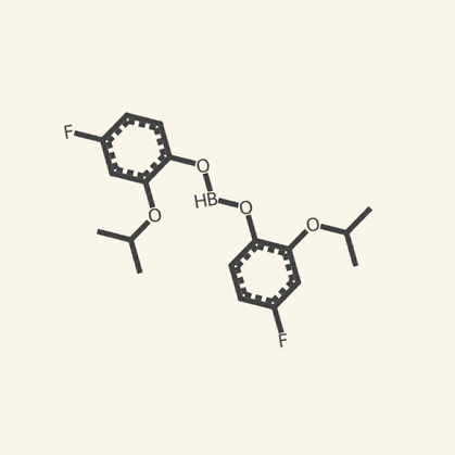 CC(C)Oc1cc(F)ccc1OBOc1ccc(F)cc1OC(C)C